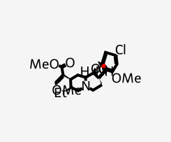 CC[C@@H]1CN2CC[C@@]34OCCO[C@@]3(Nc3cc(Cl)cc(OC)c34)[C@@H]2C[C@@H]1/C(=C\OC)C(=O)OC